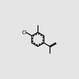 C=C(C)c1ccc(Cl)c(C)c1